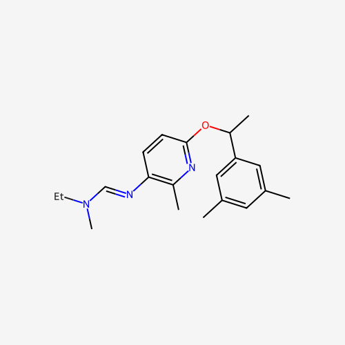 CCN(C)/C=N/c1ccc(OC(C)c2cc(C)cc(C)c2)nc1C